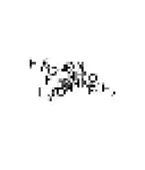 C=C(F)C(=O)N1CCN(c2nc(OC)nc3c2NC(=O)C2(CCCc4c(C)cc(F)cc42)C3)CC1CC#N